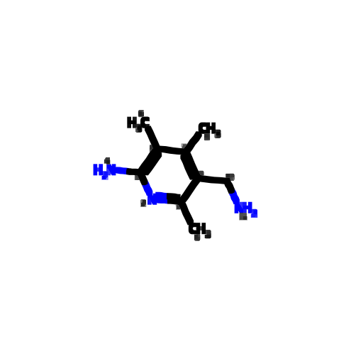 Cc1nc(N)c(C)c(C)c1CN